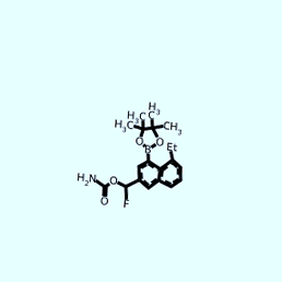 CCc1cccc2cc(C(F)OC(N)=O)cc(B3OC(C)(C)C(C)(C)O3)c12